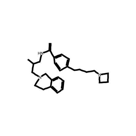 C=C(NCC(C)CN1CCc2ccccc2C1)c1ccc(CCCCN2CCC2)cc1